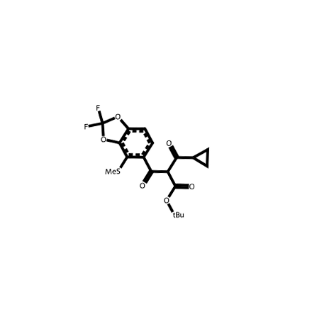 CSc1c(C(=O)C(C(=O)OC(C)(C)C)C(=O)C2CC2)ccc2c1OC(F)(F)O2